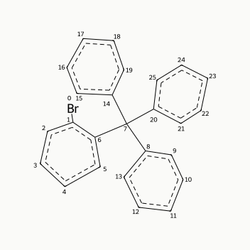 Brc1ccccc1C(c1ccccc1)(c1ccccc1)c1ccccc1